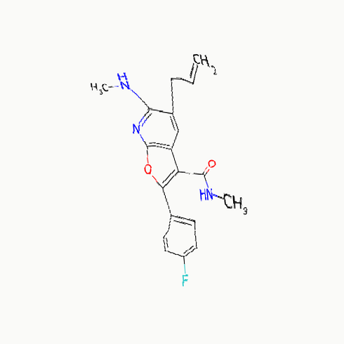 C=CCc1cc2c(C(=O)NC)c(-c3ccc(F)cc3)oc2nc1NC